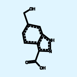 O=C(O)c1n[nH]c2cc(CO)ccc12